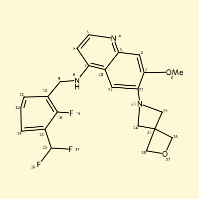 COc1cc2nccc(NCc3cccc(C(F)F)c3F)c2cc1N1CC2(COC2)C1